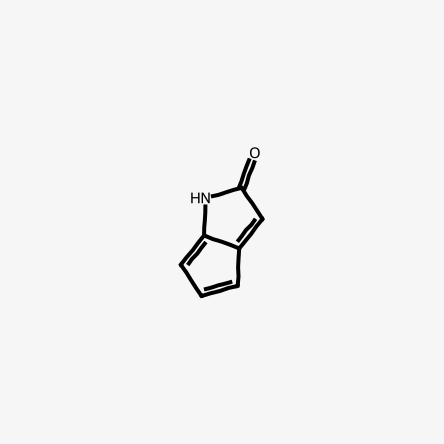 O=C1C=C2C=CC=C2N1